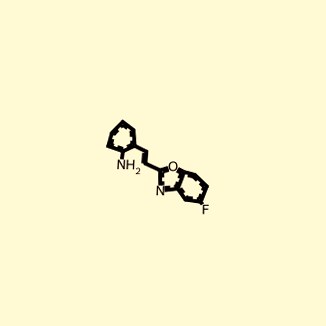 Nc1ccccc1C=Cc1nc2cc(F)ccc2o1